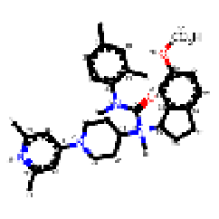 Cc1ccc(N(C)C(=O)[N+](C)(C2CCN(c3cc(C)nc(C)c3)CC2)C2CCc3ccc(OC(=O)O)cc32)c(C)c1